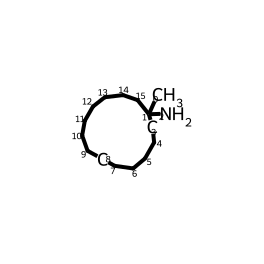 CC1(N)CCCCCCCCCCCCC1